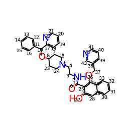 O=C(NCCN1CCC(OC(c2ccccc2)c2ccccn2)CC1)c1c(O)cc2ccccc2c1OCc1cccnc1